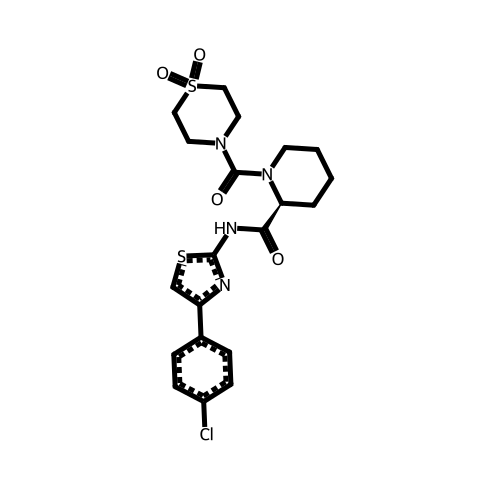 O=C(Nc1nc(-c2ccc(Cl)cc2)cs1)[C@@H]1CCCCN1C(=O)N1CCS(=O)(=O)CC1